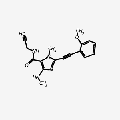 C#CCNC(=O)c1c(NC)nc(C#Cc2ccccc2OC)n1C